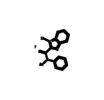 C=C(c1sc2ccccc2[n+]1CC)N(C(C)=O)c1ccccc1.[I-]